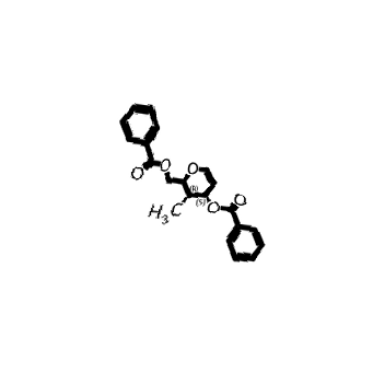 C[C@H]1C(COC(=O)c2ccccc2)OC=C[C@H]1OC(=O)c1ccccc1